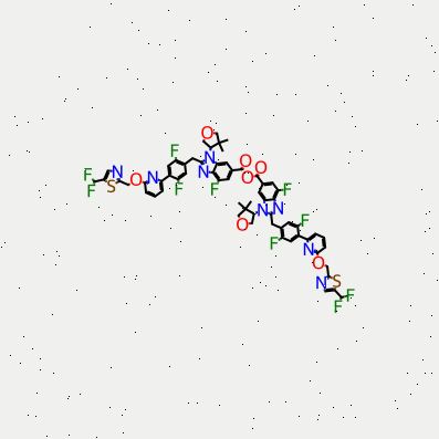 CC1(C)COCC1n1c(Cc2cc(F)c(-c3cccc(OCc4ncc(C(F)F)s4)n3)cc2F)nc2c(F)cc(C(=O)OC(=O)c3cc(F)c4nc(Cc5cc(F)c(-c6cccc(OCc7ncc(C(F)F)s7)n6)cc5F)n(C5COCC5(C)C)c4c3)cc21